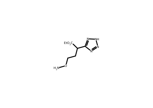 CCOC(=O)C(CCON)c1nn[nH]n1